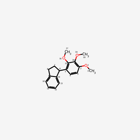 COc1ccc(C2CCc3ccccc32)c(OC)c1OC